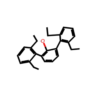 CCc1cccc(CC)c1-c1cccc(-c2c(CC)cccc2CC)c1[O]